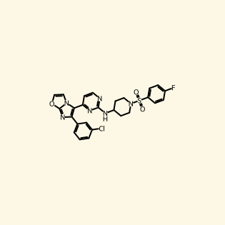 O=S(=O)(c1ccc(F)cc1)N1CCC(Nc2nccc(-c3c(-c4cccc(Cl)c4)nc4occn34)n2)CC1